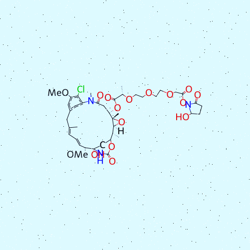 COc1cc2cc(c1Cl)N(C)C(=O)C[C@H](OC(=O)[C@H](C)OCCOCCOCC(=O)ON1C(=O)CCC1O)[C@]1(C)O[C@H]1[C@H](C)C1C[C@@](O)(NC(=O)O1)[C@H](OC)/C=C/C=C(\C)C2